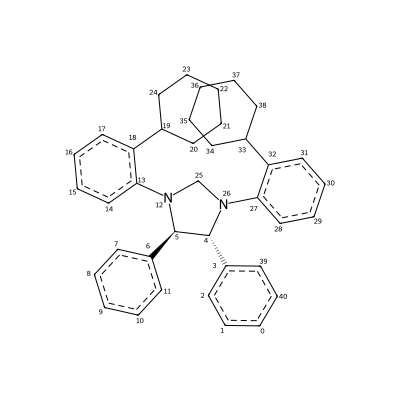 c1ccc([C@@H]2[C@@H](c3ccccc3)N(c3ccccc3C3CCCCC3)CN2c2ccccc2C2CCCCC2)cc1